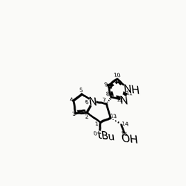 CC(C)(C)C1C2=CCCN2[C@H](c2cc[nH]n2)[C@@H]1CO